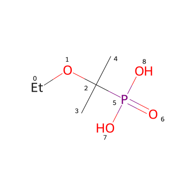 CCOC(C)(C)P(=O)(O)O